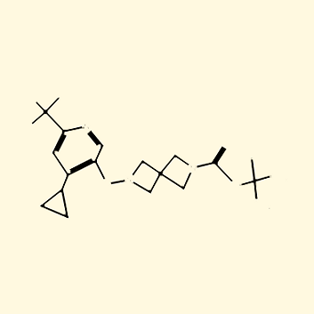 CC(C)(C)OC(=O)N1CC2(CN(Sc3cnc(C(F)(F)F)cc3C3CC3)C2)C1